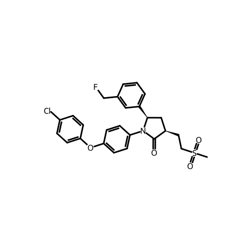 CS(=O)(=O)CC[C@@H]1C[C@H](c2cccc(CF)c2)N(c2ccc(Oc3ccc(Cl)cc3)cc2)C1=O